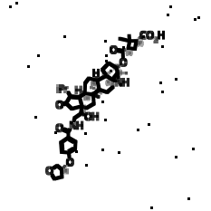 CC(C)C1=C2[C@H]3CC[C@@H]4[C@@]5(C)CC[C@H](OC(=O)[C@H]6C[C@@H](C(=O)O)C6(C)C)[C@@]6(C)N[C@@]56CC[C@@]4(C)[C@]3(C)CC[C@@]2([C@@H](O)CNC(=O)c2ccc(O[C@@H]3CCOC3)cc2)CC1=O